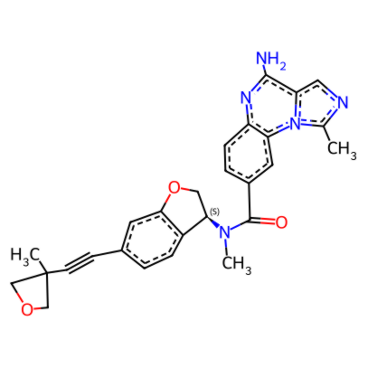 Cc1ncc2c(N)nc3ccc(C(=O)N(C)[C@@H]4COc5cc(C#CC6(C)COC6)ccc54)cc3n12